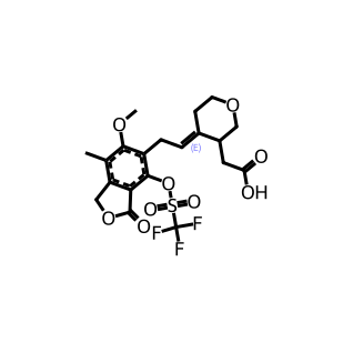 COc1c(C)c2c(c(OS(=O)(=O)C(F)(F)F)c1C/C=C1\CCOCC1CC(=O)O)C(=O)OC2